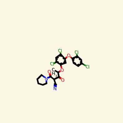 CC(Oc1cc(Oc2ccc(Cl)cc2Cl)c(Cl)cc1Cl)C(=O)C(C#N)C(=O)N1CCCCC1